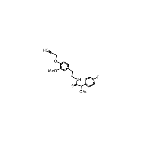 C#CCOc1ccc(CCNC(=S)C(OC(C)=O)c2ccc(F)cc2)cc1OC